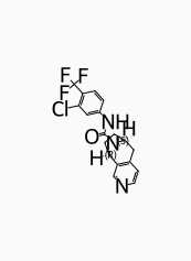 O=C(Nc1ccc(C(F)(F)F)c(Cl)c1)N1[C@H]2CC[C@@H]1c1cnccc1C2